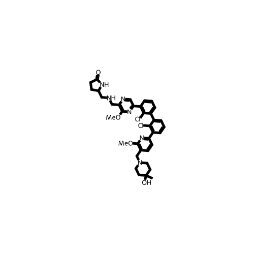 COc1nc(-c2cccc(-c3cccc(-c4cnc(CNCC5CCC(=O)N5)c(OC)n4)c3Cl)c2Cl)ccc1CN1CCC(C)(O)CC1